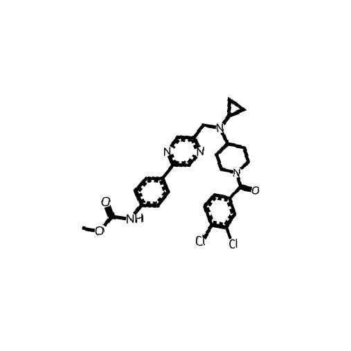 COC(=O)Nc1ccc(-c2cnc(CN(C3CC3)C3CCN(C(=O)c4ccc(Cl)c(Cl)c4)CC3)cn2)cc1